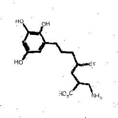 CCC(CCCc1cc(O)cc(O)c1O)CC(CN)C(=O)O